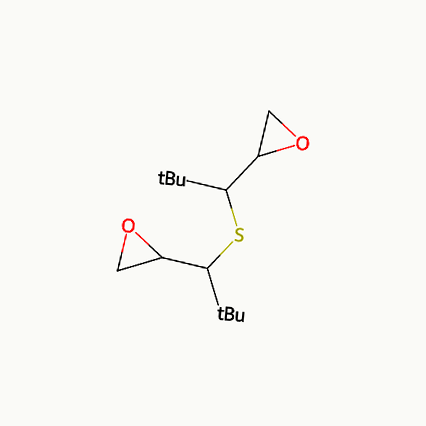 CC(C)(C)C(SC(C1CO1)C(C)(C)C)C1CO1